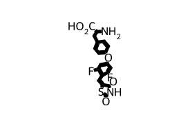 NC(Cc1ccc(Oc2cc(F)c(/C=C3/SC(=O)NC3=O)c(F)c2)cc1)C(=O)O